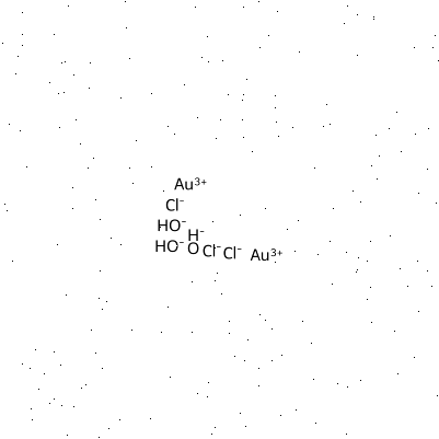 [Au+3].[Au+3].[Cl-].[Cl-].[Cl-].[OH-].[OH-].[OH-]